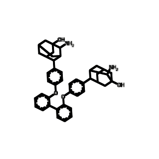 NC1C2CC3CC(CC1(O)C3)C2c1ccc(Oc2ccccc2-c2ccccc2Oc2ccc(C3C4CC5CC3C(N)C(O)(C5)C4)cc2)cc1